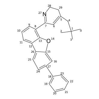 CC(C)(C)CC1=CC(c2cccc3c2oc2cc(-c4ccccc4)ccc23)=NCC1